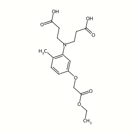 CCOC(=O)COc1ccc(C)c(N(CCC(=O)O)CCC(=O)O)c1